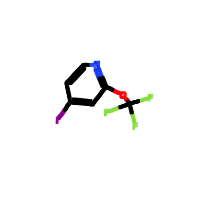 FC(F)(F)Oc1cc(I)ccn1